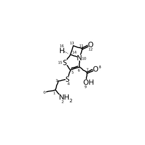 CC(N)CSC1=C(C(=O)O)N2C(=O)C[C@@H]2S1